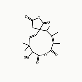 C/C1=C(\C)C(C)C2(/C=C/C(C)(C)C(C(C)(C)C)C(=O)OC1=O)CC(=O)OC2=O